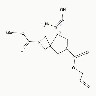 C=CCOC(=O)N1C[C@@H](/C(N)=N/O)C2(C1)CN(C(=O)OC(C)(C)C)C2